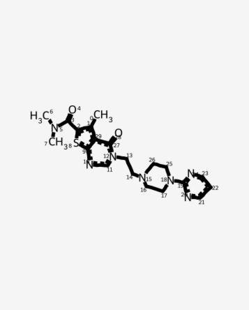 Cc1c(C(=O)N(C)C)sc2ncn(CCN3CCN(c4ncccn4)CC3)c(=O)c12